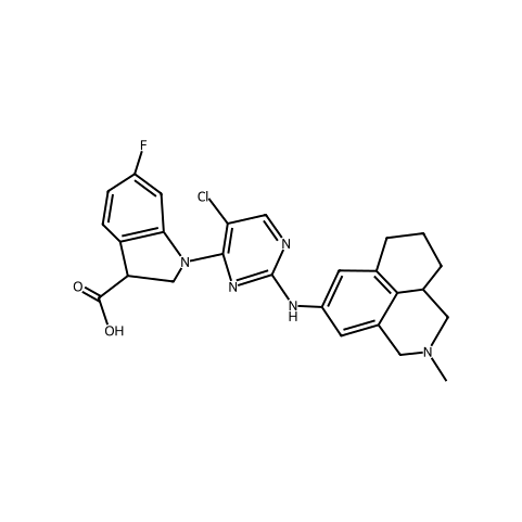 CN1Cc2cc(Nc3ncc(Cl)c(N4CC(C(=O)O)c5ccc(F)cc54)n3)cc3c2C(CCC3)C1